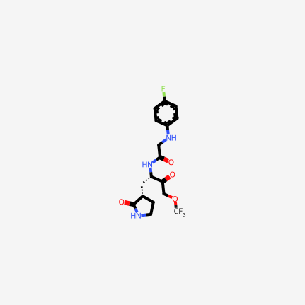 O=C(CNc1ccc(F)cc1)N[C@@H](C[C@@H]1CCNC1=O)C(=O)COC(F)(F)F